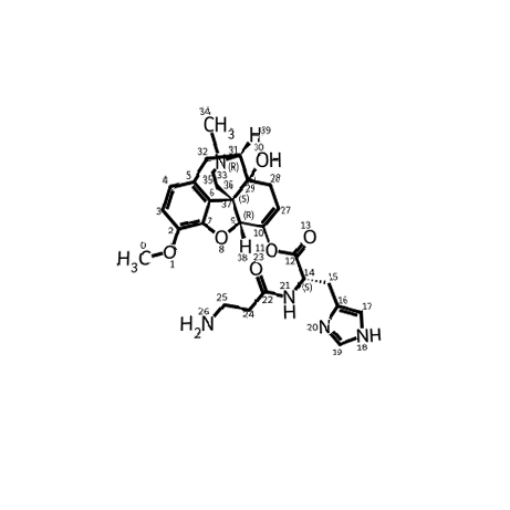 COc1ccc2c3c1O[C@H]1C(OC(=O)[C@H](Cc4c[nH]cn4)NC(=O)CCN)=CC[C@@]4(O)[C@@H](C2)N(C)CC[C@]314